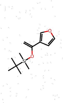 C=C(O[Si](C)(C)C(C)(C)C)c1ccoc1